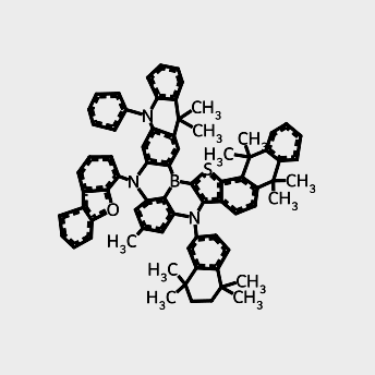 Cc1cc2c3c(c1)N(c1cccc4c1oc1ccccc14)c1cc4c(cc1B3c1sc3c5c(ccc3c1N2c1ccc2c(c1)C(C)(C)CCC2(C)C)C(C)(C)c1ccccc1C5(C)C)C(C)(C)c1ccccc1N4c1ccccc1